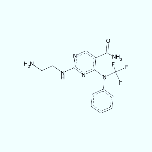 NCCNc1ncc(C(N)=O)c(N(c2ccccc2)C(F)(F)F)n1